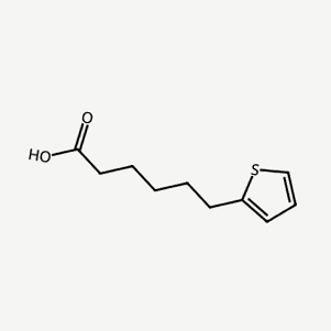 O=C(O)CCCCCc1cccs1